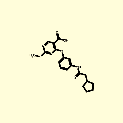 CSc1ncc(C(=O)O)c(Oc2cccc(NC(=O)CC3CCCC3)c2)n1